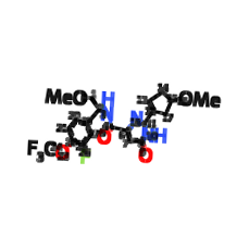 COC[C@@H](NC(=O)c1cc(=O)[nH]c(C2=CCC(OC)C2)n1)c1ccc(OC(F)(F)F)c(F)c1